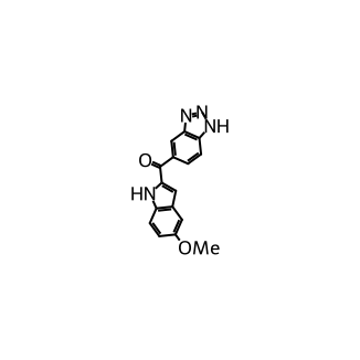 COc1ccc2[nH]c(C(=O)c3ccc4[nH]nnc4c3)cc2c1